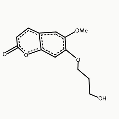 COc1cc2ccc(=O)oc2cc1OCCCO